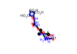 CCC(=O)NCCNC(=O)/N=C(/N)NCCC[C@@H](NC(=O)C(c1ccccc1)c1cccc(OCCCCNc2c(NCCONC(=O)CN3CCN(CC(=O)O)CCN(CC(=O)O)CCN(CC(=O)O)CC3)c(=O)c2=O)c1)C(=O)NCc1c(F)cc(O)cc1F